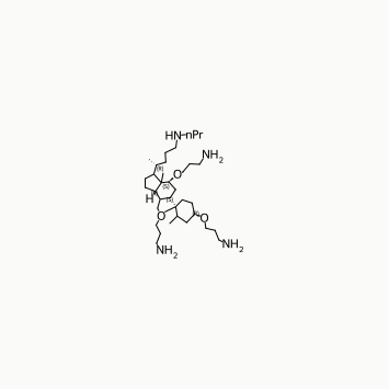 CCCNCCC[C@@H](C)C1CC[C@H]2C(COCCCN)[C@@H](C3(C)CC[C@@H](OCCCN)CC3C)C[C@H](OCCCN)C12C